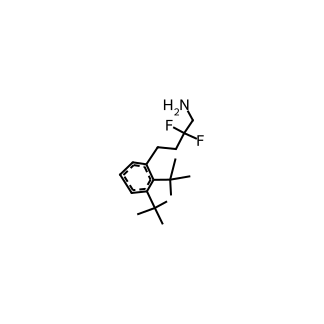 CC(C)(C)c1cccc(CCC(F)(F)CN)c1C(C)(C)C